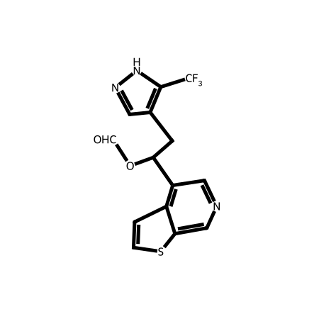 O=COC(Cc1cn[nH]c1C(F)(F)F)c1cncc2sccc12